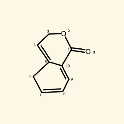 O=C1OCC=C2CC=CC=C12